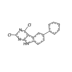 Clc1nc(Cl)c2c(n1)[nH]c1ccc(-c3ccccc3)cc12